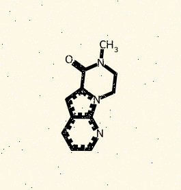 CN1CCn2c(cc3cccnc32)C1=O